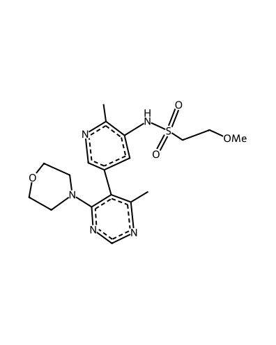 COCCS(=O)(=O)Nc1cc(-c2c(C)ncnc2N2CCOCC2)cnc1C